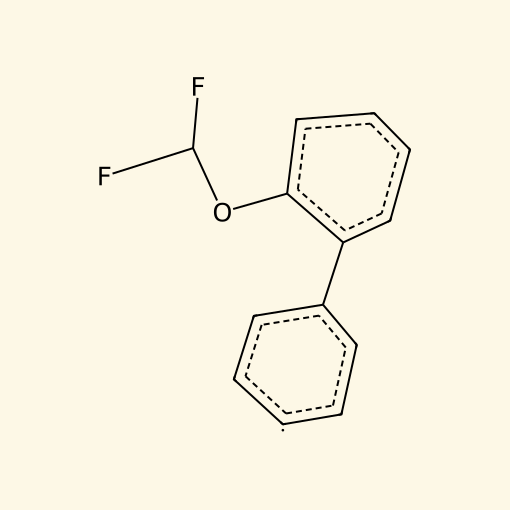 FC(F)Oc1ccccc1-c1cc[c]cc1